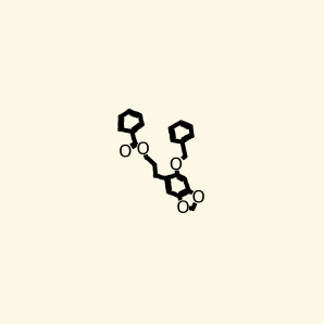 O=C(OCCCc1cc2c(cc1OCc1ccccc1)OCO2)c1ccccc1